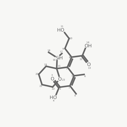 CC(C(=O)O)=C(C)C(=C(CCO)C(=O)O)C1([SiH](C)C)CCCCO1